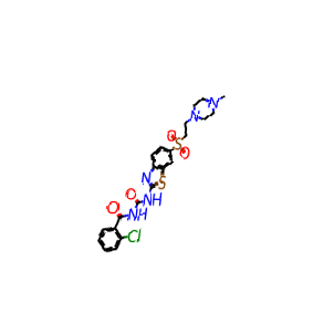 CN1CCN(CCS(=O)(=O)c2ccc3nc(NC(=O)NC(=O)c4ccccc4Cl)sc3c2)CC1